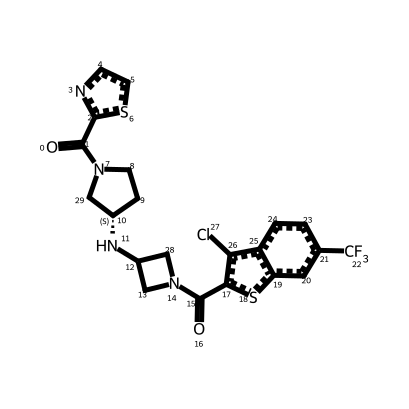 O=C(c1nccs1)N1CC[C@H](NC2CN(C(=O)c3sc4cc(C(F)(F)F)ccc4c3Cl)C2)C1